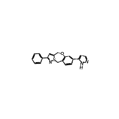 c1ccc(-c2cc3n(n2)Cc2ccc(-c4ccn[nH]4)cc2OC3)cc1